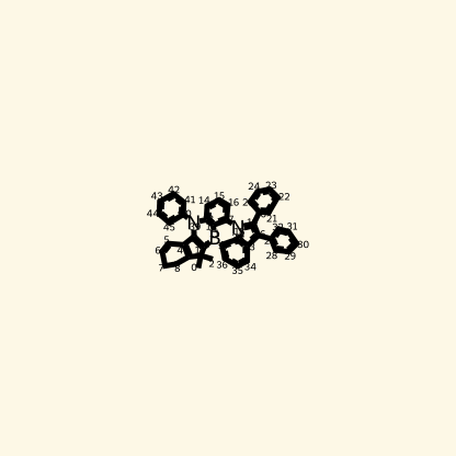 CC1(C)C2=C(C=CCC2)C2=C1B1c3c(cccc3-n3c(-c4ccccc4)c(-c4ccccc4)c4cccc1c43)N2c1ccccc1